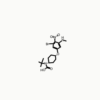 CNc1cc(O[C@H]2CC[C@@H](N(C(=O)O)C(C)(C)C)CC2)cc(Br)c1[N+](=O)[O-]